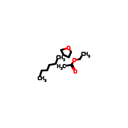 C1CCOC1.CCCCCC.CCOC(C)=O